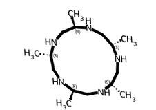 C[C@@H]1CN[C@@H](C)CN[C@H](C)CN[C@@H](C)CN[C@@H](C)CN1